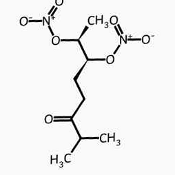 CC(C)C(=O)CC[C@H](O[N+](=O)[O-])[C@H](C)O[N+](=O)[O-]